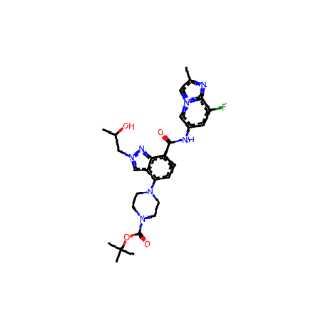 Cc1cn2cc(NC(=O)c3ccc(N4CCN(C(=O)OC(C)(C)C)CC4)c4cn(CC(C)O)nc34)cc(F)c2n1